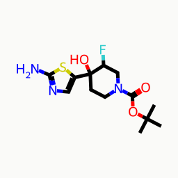 CC(C)(C)OC(=O)N1CCC(O)(c2cnc(N)s2)C(F)C1